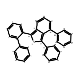 c1ccc(-c2ccccc2-c2sc(-c3ccccc3)c3c(-c4ccccc4)cccc23)cc1